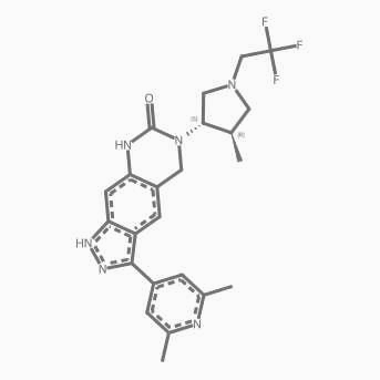 Cc1cc(-c2n[nH]c3cc4c(cc23)CN([C@@H]2CN(CC(F)(F)F)C[C@H]2C)C(=O)N4)cc(C)n1